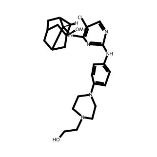 CO[C@]12CC3CC(C1)[C@@H](Nc1nc(Nc4ccc(N5CCN(CCO)CC5)cc4)ncc1Cl)C(C3)C2